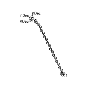 CCCCCCCCCCCCOc1cc(Cn2cc(COCCOCCOCCOCCOCCOCCOCCOCCOCCOCCOCCOCCOCCOCCOCCOCCP(=O)(F)OCC)nn2)cc(OCCCCCCCCCCCC)c1OCCCCCCCCCCCC